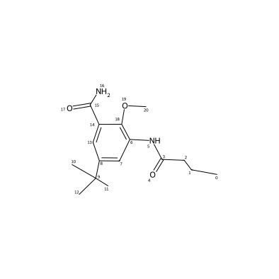 CCCC(=O)Nc1cc(C(C)(C)C)cc(C(N)=O)c1OC